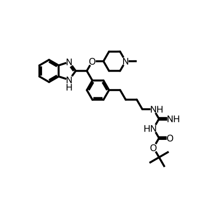 CN1CCC(OC(c2cccc(CCCCNC(=N)NC(=O)OC(C)(C)C)c2)c2nc3ccccc3[nH]2)CC1